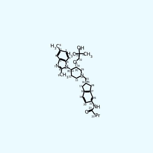 Cc1ccc2c(c1)nc(C)n2[C@@H]1CCN(C[C@@H]2Cc3ccc(NC(=O)C(C)C)cc3C2)C[C@H]1OCC(C)(C)O